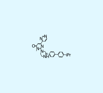 CC(C)c1ccc(-c2ccc([C@H]3CN(c4nc(-c5ccncn5)cc(=O)n4C)CCN3)cc2)cc1